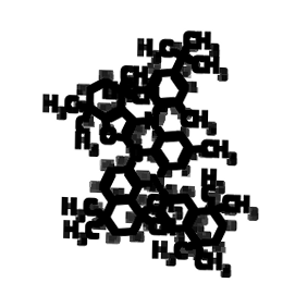 Cc1cc2c3c(c1)N(c1c(C)cc(C(C)(C)C)cc1C)c1c(oc4c1C(C)(C)CCC4(C)C)B3c1ccc3c(c1N2c1ccc2c(c1)C(C)(C)CCC2(C)C)C(C)(C)CCC3(C)C